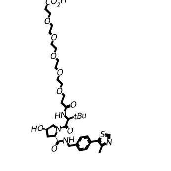 Cc1ncsc1-c1ccc(CNC(=O)[C@@H]2C[C@@H](O)CN2C(=O)C(NC(=O)CCOCCOCCOCCOCCOCCC(=O)O)C(C)(C)C)cc1